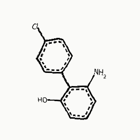 Nc1cccc(O)c1-c1ccc(Cl)cc1